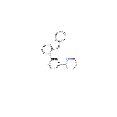 c1cc(-c2cccc3c2Cc2ccccc2-3)cc(C2CCCCN2)c1